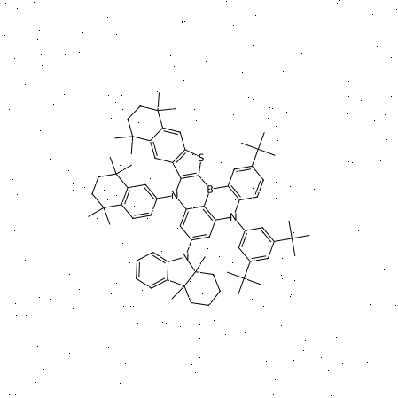 CC(C)(C)c1cc(N2c3ccc(C(C)(C)C)cc3B3c4sc5cc6c(cc5c4N(c4ccc5c(c4)C(C)(C)CCC5(C)C)c4cc(N5c7ccccc7C7(C)CCCCC57C)cc2c43)C(C)(C)CCC6(C)C)cc(C(C)(C)C)c1